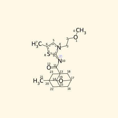 COCCn1cc(C)s/c1=N\C(=O)C12CC3CC(C1)OC(C)(C3)C2